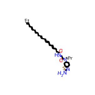 CCC=CCC=CCC=CCC=CCC=CCC=CCCC(=O)NCC(=O)N(CCC)C1CCc2nc(N)sc2C1